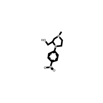 CN1CCN(c2ccc([N+](=O)[O-])cc2)C(CO)C1